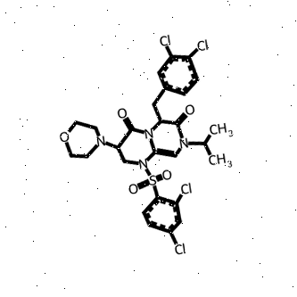 CC(C)N1C=C2N(C(=O)C(N3CCOCC3)CN2S(=O)(=O)c2ccc(Cl)cc2Cl)C(Cc2ccc(Cl)c(Cl)c2)C1=O